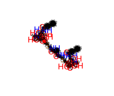 CC(=O)N[C@@H]1C(O)C[C@](OCCCSCCNC(=O)c2cccc(C(=O)NCCSCCCO[C@]3(C(=O)O)C[C@H](O)[C@@H](NC(C)=O)C([C@H](O)[C@H](O)CNC(=O)c4ccc(-c5ccccc5)cc4)O3)c2)(C(=O)O)O[C@H]1[C@H](O)CCNC(=O)c1ccc(-c2ccccc2)cc1